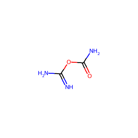 N=C(N)OC(N)=O